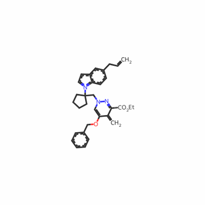 C=CCc1ccc2c(ccn2C2(CN3C=C(OCc4ccccc4)C(=C)C(C(=O)OCC)=N3)CCCC2)c1